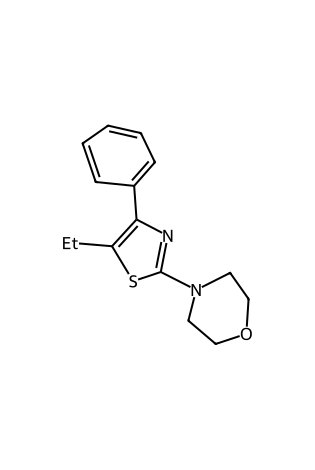 CCc1sc(N2CCOCC2)nc1-c1ccccc1